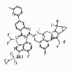 Cc1cccc(-c2ccc3c(=O)n(-c4ccc(Cl)c5c(NS(=O)(=O)C6CC6)nn(CC(F)F)c45)c([C@H](Cc4cc(F)cc(F)c4)NC(=O)Cn4nc(C(F)F)c5c4C(F)(F)C4CC54)nc3c2)n1